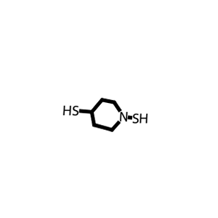 SC1CCN(S)CC1